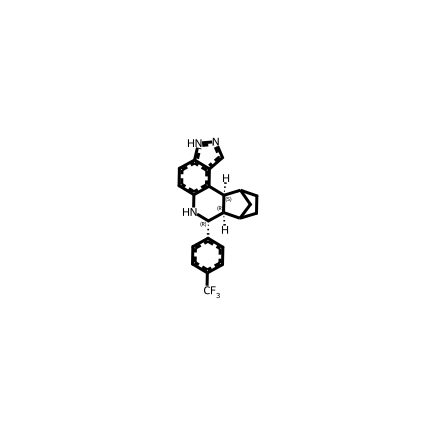 FC(F)(F)c1ccc([C@@H]2Nc3ccc4[nH]ncc4c3[C@H]3C4CCC(C4)[C@@H]23)cc1